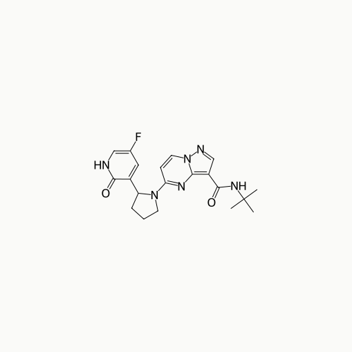 CC(C)(C)NC(=O)c1cnn2ccc(N3CCCC3c3cc(F)c[nH]c3=O)nc12